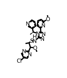 COc1cccc(-c2nnc(NSC(C)C(OC)c3ncc(Cl)cn3)n2[C@@H](C)c2cccnc2)n1